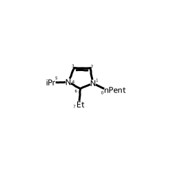 CCCCCN1C=CN(C(C)C)C1CC